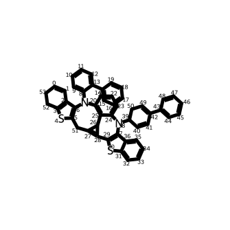 C1=Cc2c(sc3c2N(c2ccccc2-c2ccccc2)c2cccc4c2C2C(=C2c2sc5ccccc5c2N4C2C=CC(c4ccccc4)=CC2)C3)CC1